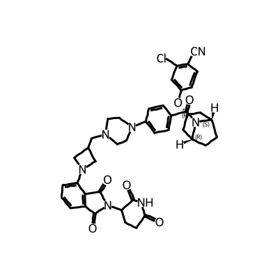 N#Cc1ccc(O[C@H]2C[C@H]3CC[C@@H](C2)N3C(=O)c2ccc(N3CCN(CC4CN(c5cccc6c5C(=O)N(C5CCC(=O)NC5=O)C6=O)C4)CC3)cc2)cc1Cl